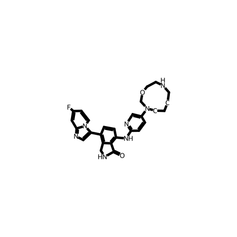 O=C1NCc2c(-c3cnc4cc(F)ccn34)ccc(Nc3ccc(N4CCCCNCCOC4)cn3)c21